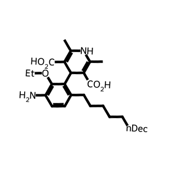 CCCCCCCCCCCCCCCc1ccc(N)c(OCC)c1C1C(C(=O)O)=C(C)NC(C)=C1C(=O)O